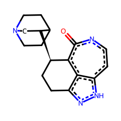 O=c1nccc2[nH]nc3c2c1[C@H](C1CN2CCC1CC2)CC3